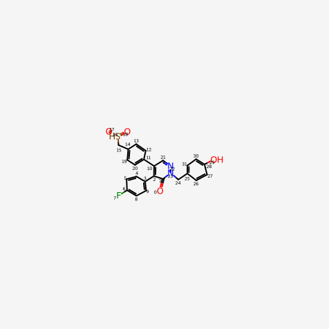 O=c1c(-c2ccc(F)cc2)c(-c2ccc(C[SH](=O)=O)cc2)cnn1Cc1ccc(O)cc1